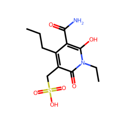 CCCc1c(C(N)=O)c(O)n(CC)c(=O)c1CS(=O)(=O)O